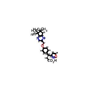 CCCC1(C)c2ncc(COc3ccc([C@H](CC(=O)O)c4ccon4)cc3)nc2CC1(C)C